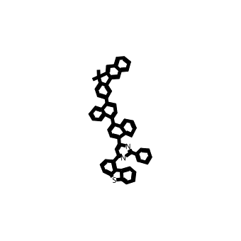 CC1(C)c2ccc(-c3ccc(-c4ccc(-c5cc(-c6cccc7sc8ccccc8c67)nc(-c6ccccc6)n5)c5ccccc45)c4ccccc34)cc2-c2cc3ccccc3cc21